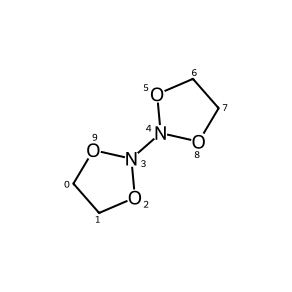 C1CON(N2OCCO2)O1